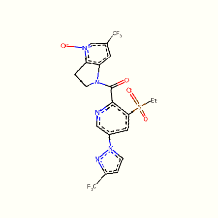 CCS(=O)(=O)c1cc(-n2ccc(C(F)(F)F)n2)cnc1C(=O)N1CCc2c1cc(C(F)(F)F)c[n+]2[O-]